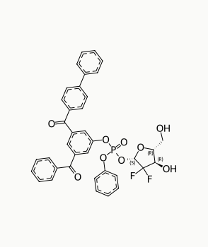 O=C(c1ccccc1)c1cc(OP(=O)(Oc2ccccc2)O[C@@H]2O[C@H](CO)[C@@H](O)C2(F)F)cc(C(=O)c2ccc(-c3ccccc3)cc2)c1